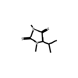 CC(C)C1C(=S)N(C)C(=S)N1C